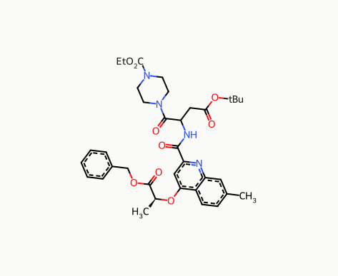 CCOC(=O)N1CCN(C(=O)C(CC(=O)OC(C)(C)C)NC(=O)c2cc(O[C@@H](C)C(=O)OCc3ccccc3)c3ccc(C)cc3n2)CC1